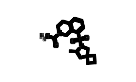 CC1CC2(CCC2)CN1S(=O)(=O)c1cccc2c1CN(C(=O)C(F)(F)F)CC2